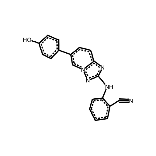 N#Cc1ccccc1Nc1nc2ccc(-c3ccc(O)cc3)cn2n1